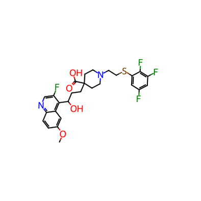 COc1ccc2ncc(F)c(C(O)CCC3(C(=O)O)CCN(CCSc4cc(F)cc(F)c4F)CC3)c2c1